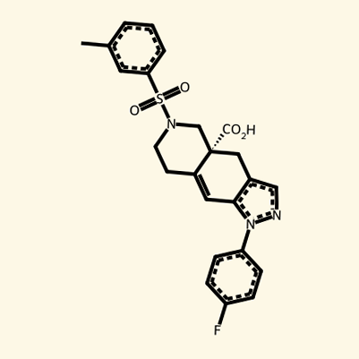 Cc1cccc(S(=O)(=O)N2CCC3=Cc4c(cnn4-c4ccc(F)cc4)C[C@]3(C(=O)O)C2)c1